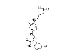 CCN(CC)CCCNc1ccc(N/C=C2\C(=O)Nc3ccc(F)cc32)cc1C